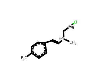 C[SiH](C=Cc1ccc(C(F)(F)F)cc1)[CH2][Mg][Cl]